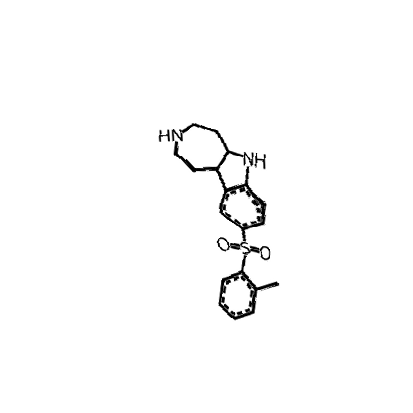 Cc1ccccc1S(=O)(=O)c1ccc2c(c1)C1CCNCCC1N2